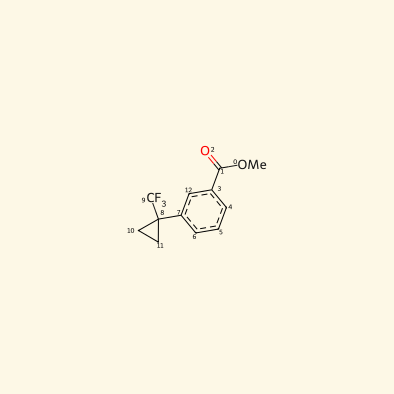 COC(=O)c1cccc(C2(C(F)(F)F)CC2)c1